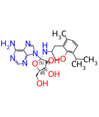 Cc1ccc(C(C)C)c2c1CC(N[C@@]1(n3cnc4c(N)ncnc43)O[C@H](CO)[C@@H](O)[C@H]1O)CO2